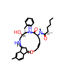 CCCC[C@H](C)C(=O)N(C)C1CC=CCO[C@H]2C[C@@H](NC[C@@H](O)[C@H](Cc3ccccc3)NC1=O)C1C=C(C)C=CC12